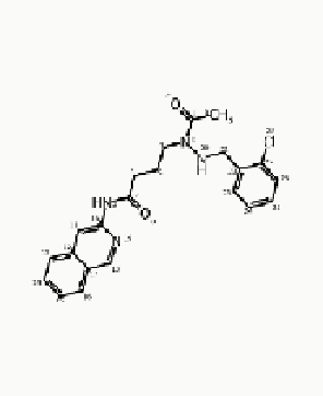 CC(=O)N(CCCC(=O)Nc1cc2ccccc2cn1)NCc1ccccc1Cl